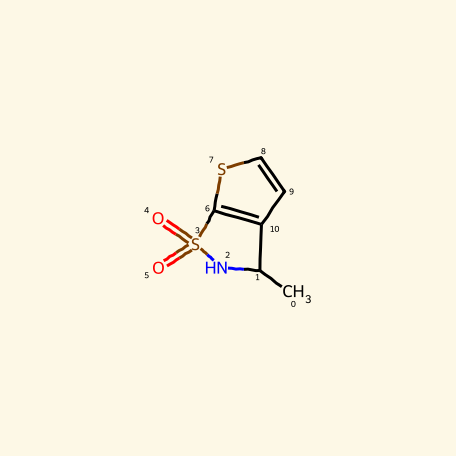 CC1NS(=O)(=O)c2sccc21